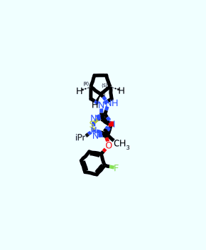 Cc1cc(N2C[C@H]3CC[C@@H](C2)[C@@H]3Nc2nc(Oc3ccccc3F)n(C(C)C)n2)sn1